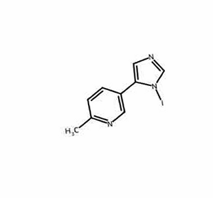 Cc1ccc(-c2cncn2I)cn1